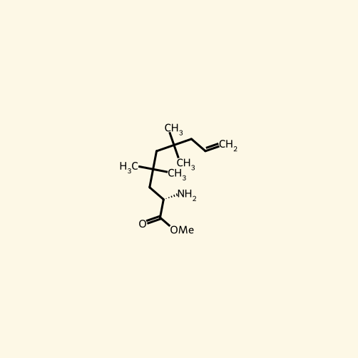 C=CCC(C)(C)CC(C)(C)C[C@H](N)C(=O)OC